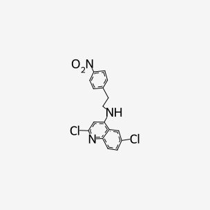 O=[N+]([O-])c1ccc(CCNc2cc(Cl)nc3ccc(Cl)cc23)cc1